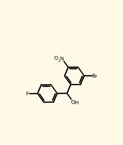 O=[N+]([O-])c1cc(Br)cc(C(O)c2ccc(F)cc2)c1